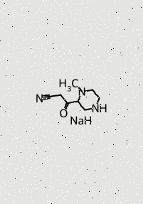 CN1CCNCC1C(=O)CC#N.[NaH]